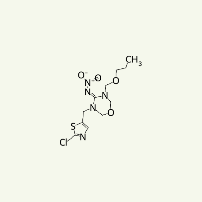 CCCOCN1COCN(Cc2cnc(Cl)s2)C1=N[N+](=O)[O-]